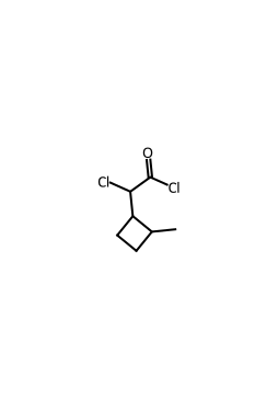 CC1CCC1C(Cl)C(=O)Cl